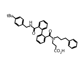 CC(C)(C)c1ccc(CNC(=O)c2ccccc2-c2ccccc2C(=O)N(CCCc2ccccc2)CCC(=O)O)cc1